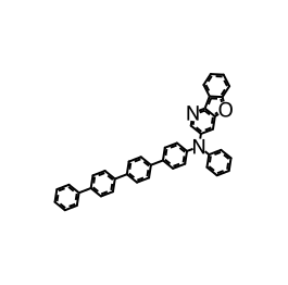 c1ccc(-c2ccc(-c3ccc(-c4ccc(N(c5ccccc5)c5cnc6c(c5)oc5ccccc56)cc4)cc3)cc2)cc1